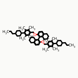 CCCC1CCC(c2c(C)c(C)c(COc3ccc4c(c3-c3c(OCc5c(C)c(C)c(C6CCC(CCC)CC6)c(C)c5C)ccc5c3CCCC5)CCCC4)c(C)c2C)CC1